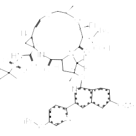 CCC(C)N(C(=O)O)[C@@H]1C(=O)N2[C@@H](C[C@@](C)(Oc3nc(-c4ccc(OC(C)C)cn4)cc4cc(OC)ccc34)C2(F)F)C(=O)N[C@]2(C(=O)NS(=O)(=O)C3(C)CC3)C[C@H]2/C=C\CC[C@@H](C)O[C@H]1CC